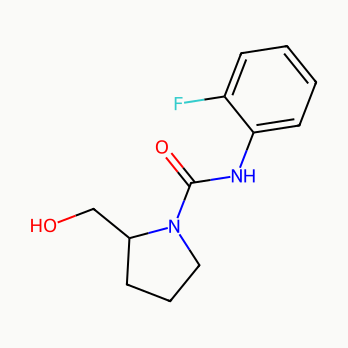 O=C(Nc1ccccc1F)N1CCCC1CO